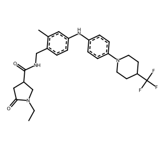 CCN1CC(C(=O)NCc2ccc(Nc3ccc(N4CCC(C(F)(F)F)CC4)cc3)cc2C)CC1=O